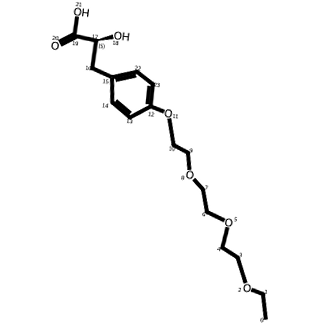 CCOCCOCCOCCOc1ccc(C[C@H](O)C(=O)O)cc1